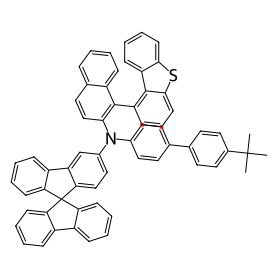 CC(C)(C)c1ccc(-c2ccc(N(c3ccc4c(c3)-c3ccccc3C43c4ccccc4-c4ccccc43)c3ccc4ccccc4c3-c3cccc4sc5ccccc5c34)cc2)cc1